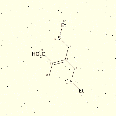 CCSCC(CSCC)=C(C)C(=O)O